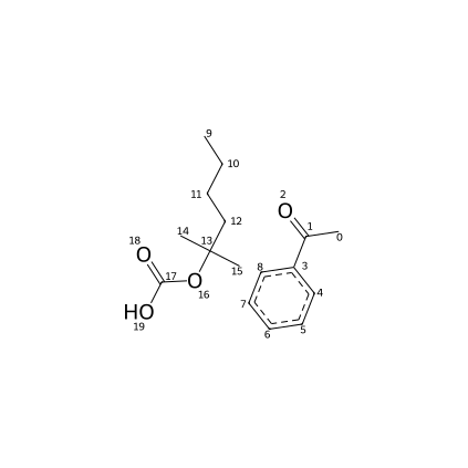 CC(=O)c1ccccc1.CCCCC(C)(C)OC(=O)O